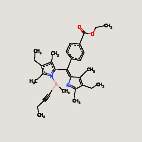 CCC#CB(C)n1c(C)c(CC)c(C)c1/C(=C1\N=C(C)C(CC)=C1C)c1ccc(C(=O)OCC)cc1